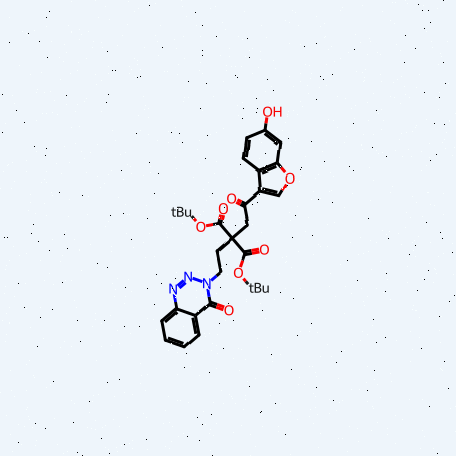 CC(C)(C)OC(=O)C(CCn1nnc2ccccc2c1=O)(CC(=O)c1coc2cc(O)ccc12)C(=O)OC(C)(C)C